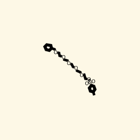 Cc1ccc(S(=O)(=O)OCCOCCOCCOCCOCCOCc2ccccc2)cc1